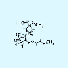 CCCCCCC(F)C(F)(F)S(=O)(=O)[O-].CC[N+](CC)(CC)CC